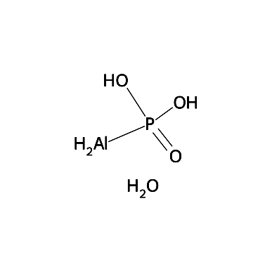 O.O=[P](O)(O)[AlH2]